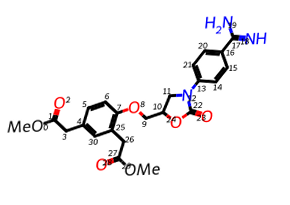 COC(=O)Cc1ccc(OCC2CN(c3ccc(C(=N)N)cc3)C(=O)O2)c(CC(=O)OC)c1